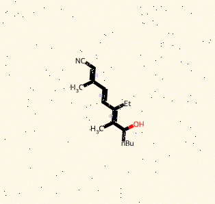 CCCCC(O)/C(C)=C(/C=C/C(C)=C/C#N)CC